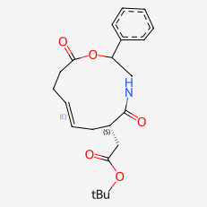 CC(C)(C)OC(=O)C[C@@H]1C/C=C/CCC(=O)OC(c2ccccc2)CNC1=O